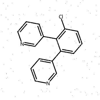 Clc1cccc(-c2cccnc2)c1-c1cccnc1